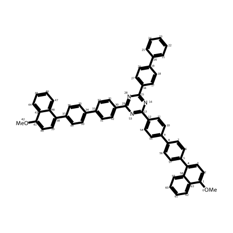 COc1ccc(-c2ccc(-c3ccc(-c4nc(-c5ccc(-c6ccccc6)cc5)nc(-c5ccc(-c6ccc(-c7ccc(OC)c8ccccc78)cc6)cc5)n4)cc3)cc2)c2ccccc12